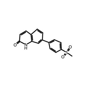 CS(=O)(=O)c1ccc(-c2ccc3ccc(=O)[nH]c3c2)cc1